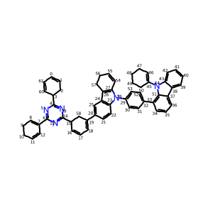 C1=CCC(c2nc(C3=CCCC=C3)nc(C3C=CC=C(c4ccc5c(c4)c4c(n5-c5ccc(-c6cccc7c8ccccc8n(C8=CCCCC8)c67)cc5)C=CCC4)C3)n2)C=C1